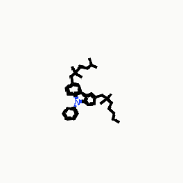 CCCCCC(C)(C)Cc1ccc2c(c1)c1cc(CC(C)(C)CCC(C)C)ccc1n2-c1ccccc1